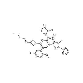 CCCCOC1CC(O[C@@H](Cn2c(=O)n([C@@H]3CCNC3=O)c(=O)c3c(C)c(-n4nccn4)sc32)c2cc(F)ccc2OC)C1